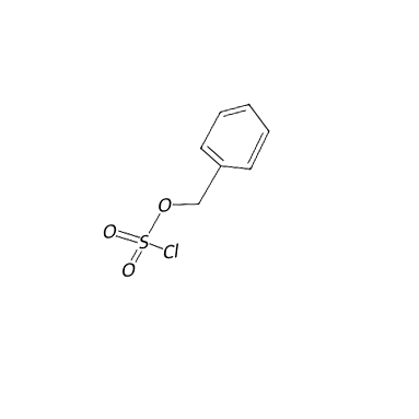 O=S(=O)(Cl)OCc1ccccc1